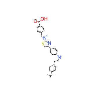 CN(CCc1ccc(C(C)(C)C)cc1)c1ccc(-c2csc(N(C)Cc3ccc(C(=O)O)cc3)n2)cc1